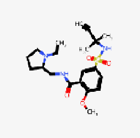 C#CC(C)(C)NS(=O)(=O)c1ccc(OC)c(C(=O)NCC2CCCN2CC)c1